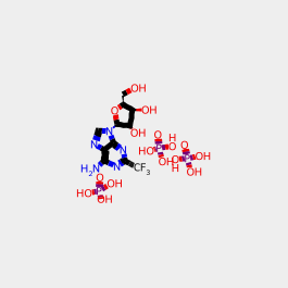 Nc1nc(C(F)(F)F)nc2c1ncn2[C@@H]1O[C@H](CO)[C@@H](O)[C@H]1O.O=P(O)(O)O.O=P(O)(O)O.O=P(O)(O)O